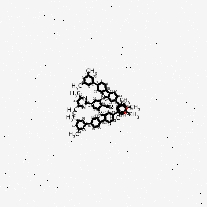 Cc1cc(C)cc(-c2ccc3c4ccc(-c5cc(C)cc(C)c5)cc4n(-c4cc(-c5nc(C)cc(C)n5)cc(-n5c6cc(-c7cc(C)cc(C)c7)ccc6c6ccc(-c7cc(C)cc(C)c7)cc65)c4C#N)c3c2)c1